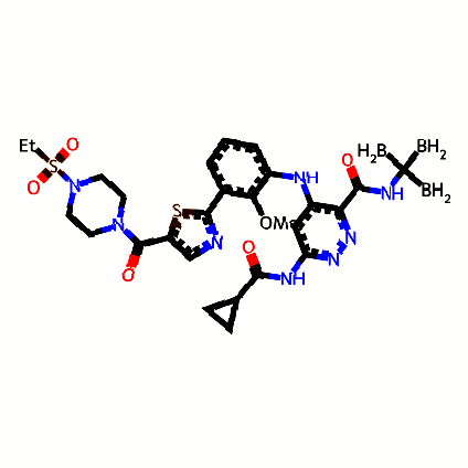 BC(B)(B)NC(=O)c1nnc(NC(=O)C2CC2)cc1Nc1cccc(-c2ncc(C(=O)N3CCN(S(=O)(=O)CC)CC3)s2)c1OC